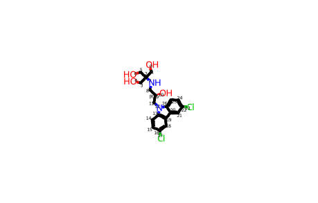 OCC(CO)(CO)NC[C@@H](O)Cn1c2ccc(Cl)cc2c2cc(Cl)ccc21